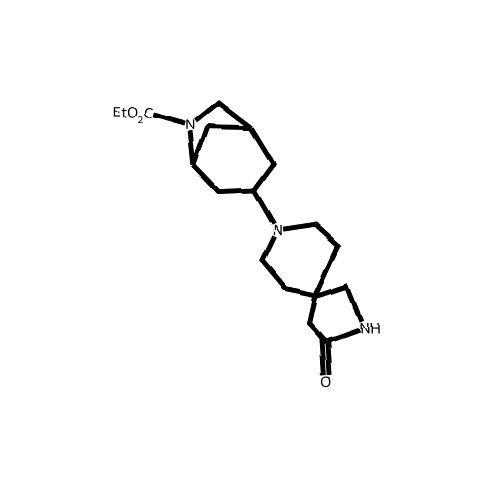 CCOC(=O)N1CC2CC(N3CCC4(CC3)CNC(=O)C4)CC1C2